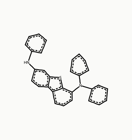 c1ccc(Nc2ccc3c(c2)sc2c(N(c4ccccc4)c4ccccc4)cccc23)cc1